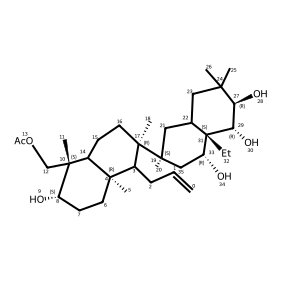 C=CCC1[C@@]2(C)CC[C@H](O)[C@](C)(COC(C)=O)C2CC[C@@]1(C)[C@@]1(C)CC2CC(C)(C)[C@@H](O)[C@H](O)[C@]2(CC)[C@H](O)C1